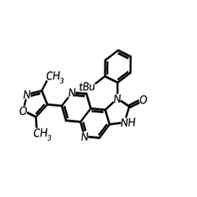 Cc1noc(C)c1-c1cc2ncc3[nH]c(=O)n(-c4ccccc4C(C)(C)C)c3c2cn1